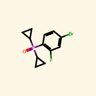 O=P(c1ccc(Br)cc1F)(C1CC1)C1CC1